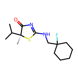 CC(C)[C@]1(C)SC(NCC2(F)CCCCC2)=NC1=O